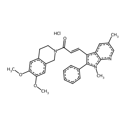 COc1cc2c(cc1OC)CN(C(=O)/C=C/c1c(-c3ccccc3)n(C)c3ncc(C)cc13)CC2.Cl